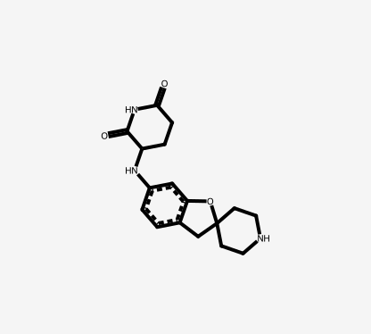 O=C1CCC(Nc2ccc3c(c2)OC2(CCNCC2)C3)C(=O)N1